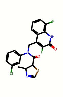 CC1N=CSC1C(=O)N(Cc1c(F)c(=O)[nH]c2c(F)cccc12)c1cccc(Cl)c1